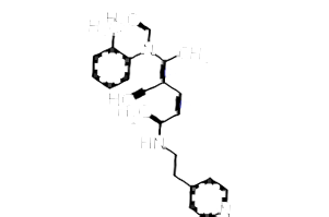 C#CC(/C=C\C(=C)NCCc1ccncc1)=C(/C)N(C=C)c1ccccc1C